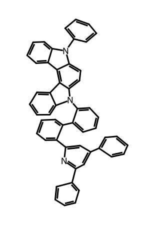 c1ccc(-c2cc(-c3ccccc3)nc(-c3ccccc3-c3ccccc3-n3c4ccccc4c4c5c6ccccc6n(-c6ccccc6)c5ccc43)c2)cc1